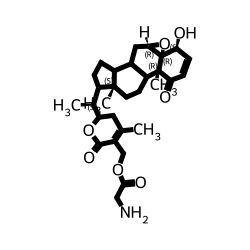 CC1=C(COC(=O)CN)C(=O)OC([C@@H](C)C2CCC3C4C[C@H]5O[C@]56[C@@H](O)C=CC(=O)[C@]6(C)C4CC[C@@]32C)C1